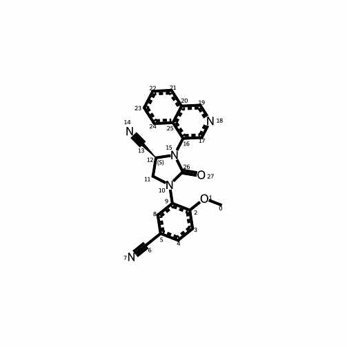 COc1ccc(C#N)cc1N1C[C@@H](C#N)N(c2cncc3ccccc23)C1=O